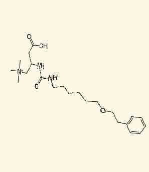 C[N+](C)(C)CC(CC(=O)O)NC(=O)NCCCCCCOCCc1ccccc1